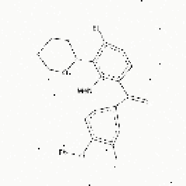 C=C(c1ccc(OCC)c(C)c1)c1ccc(CC)c(C2CCCCO2)c1NC